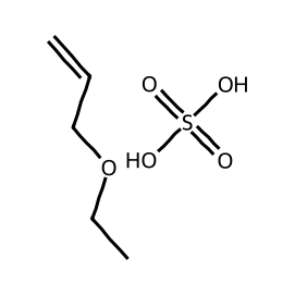 C=CCOCC.O=S(=O)(O)O